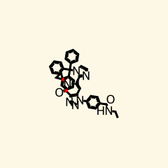 CCNC(=O)c1ccc(-n2nnc(C(=O)NC3CC3)c2C=Cc2nccn2C(c2ccccc2)(c2ccccc2)c2ccccc2)cc1